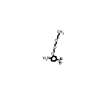 CCCCOCCOCCOc1cc([N+](=O)[O-])ccc1N